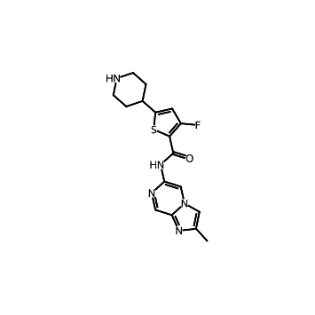 Cc1cn2cc(NC(=O)c3sc(C4CCNCC4)cc3F)ncc2n1